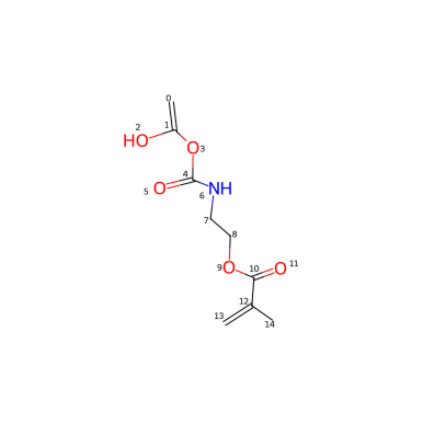 C=C(O)OC(=O)NCCOC(=O)C(=C)C